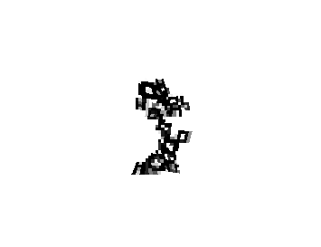 CC[C@H]1CNCCN1c1ncc(Cl)c(N2CC(C(=O)NC(C)(C)c3cnc4ccccn34)C2)n1